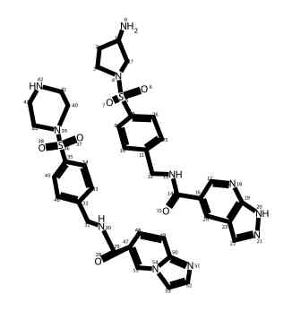 NC1CCN(S(=O)(=O)c2ccc(CNC(=O)c3cnc4[nH]ncc4c3)cc2)C1.O=C(NCc1ccc(S(=O)(=O)N2CCNCC2)cc1)c1ccc2nccn2c1